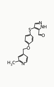 Cc1cc(COc2ccc(Sc3cn[nH]c3C=O)cc2)ccn1